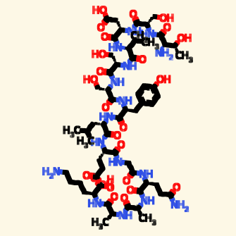 CC(C)C[C@H](NC(=O)[C@H](Cc1ccc(O)cc1)NC(=O)[C@H](CO)NC(=O)[C@H](CO)NC(=O)[C@@H](NC(=O)[C@H](CC(=O)O)NC(=O)[C@H](CO)NC(=O)[C@@H](N)[C@@H](C)O)C(C)C)C(=O)N[C@@H](CCC(=O)O)C(=O)NCC(=O)N[C@@H](CCC(N)=O)C(=O)N[C@@H](C)C(=O)N[C@@H](C)C(=O)N[C@@H](CCCCN)C(=O)O